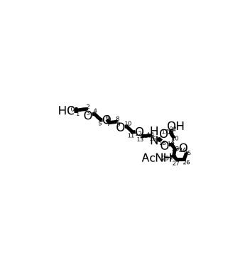 C#CCOCCOCCOCCOCCNC(=O)O[C@H](CCO)[C@@H]1OCCC[C@H]1NC(C)=O